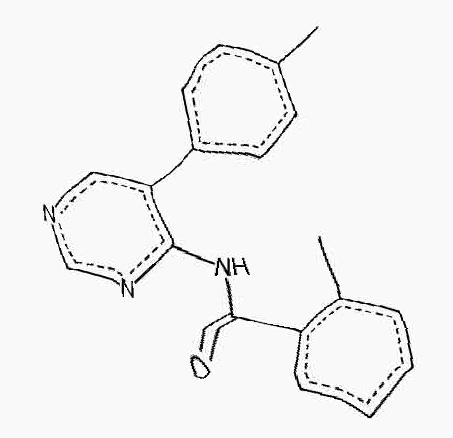 Cc1ccc(-c2cncnc2NC(=O)c2ccccc2C)cc1